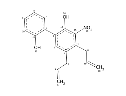 C=CCc1cc(-c2ccccc2O)c(O)c([N+](=O)[O-])c1CC=C